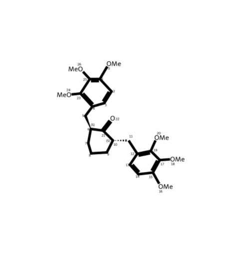 COc1ccc(C[C@@H]2CCC[C@@H](Cc3ccc(OC)c(OC)c3OC)C2=O)c(OC)c1OC